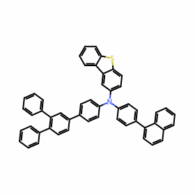 c1ccc(-c2ccc(-c3ccc(N(c4ccc(-c5cccc6ccccc56)cc4)c4ccc5sc6ccccc6c5c4)cc3)cc2-c2ccccc2)cc1